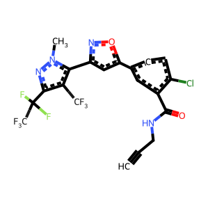 C#CCNC(=O)c1cc(-c2cc(-c3c(C(F)(F)F)c(C(F)(F)C(F)(F)F)nn3C)no2)ccc1Cl